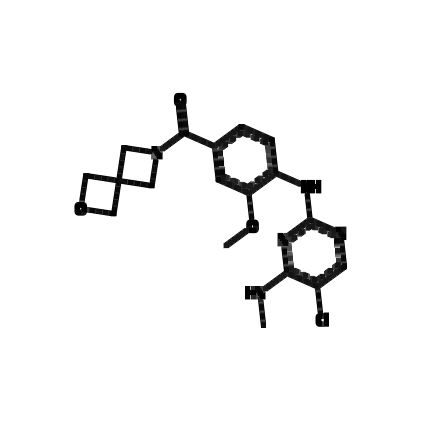 CNc1nc(Nc2ccc(C(=O)N3CC4(COC4)C3)cc2OC)ncc1Cl